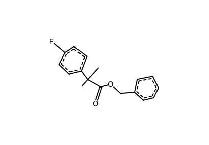 CC(C)(C(=O)OCc1ccccc1)c1ccc(F)cc1